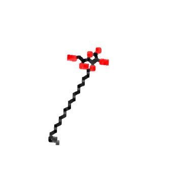 CCCCCCCCCCCCCCCCCCOC1=C(O)C(=O)O[C@@H]1C(O)CO